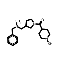 CN(Cc1ccccc1)CC1CCN(C(=O)C2CCN(S)CC2)C1